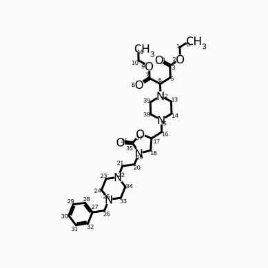 CCOC(=O)CC(C(=O)OCC)N1CCN(CC2CN(CCN3CCN(Cc4ccccc4)CC3)C(=O)O2)CC1